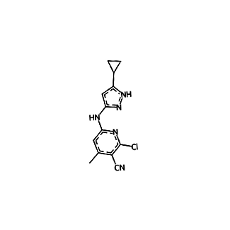 Cc1cc(Nc2cc(C3CC3)[nH]n2)nc(Cl)c1C#N